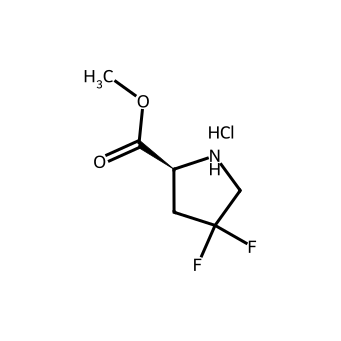 COC(=O)[C@@H]1CC(F)(F)CN1.Cl